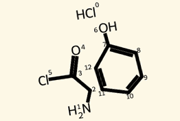 Cl.NCC(=O)Cl.Oc1ccccc1